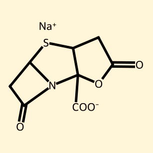 O=C1CC2SC3CC(=O)N3C2(C(=O)[O-])O1.[Na+]